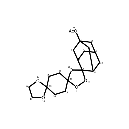 CC(=O)OC12CC3CC(C1)C1(OOC4(CCC5(CC4)OCCO5)O1)C(C3)C2